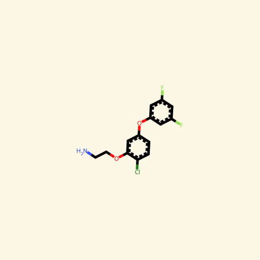 NCCOc1cc(Oc2cc(F)cc(F)c2)ccc1Cl